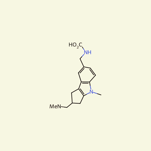 CNCC1Cc2c(n(C)c3ccc(CNC(=O)O)cc23)C1